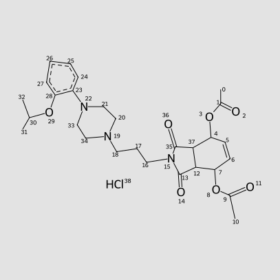 CC(=O)OC1C=CC(OC(C)=O)C2C(=O)N(CCCN3CCN(c4ccccc4OC(C)C)CC3)C(=O)C12.Cl